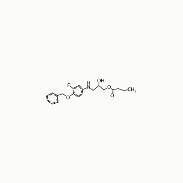 CCCC(=O)OCC(O)CNc1ccc(OCc2ccccc2)c(F)c1